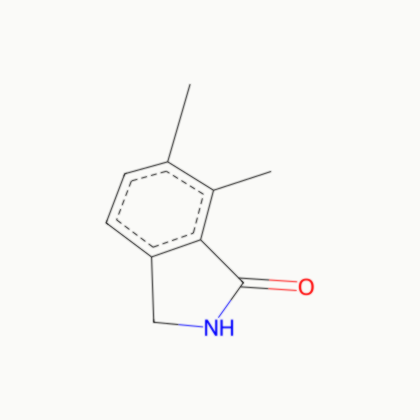 Cc1ccc2c(c1C)C(=O)NC2